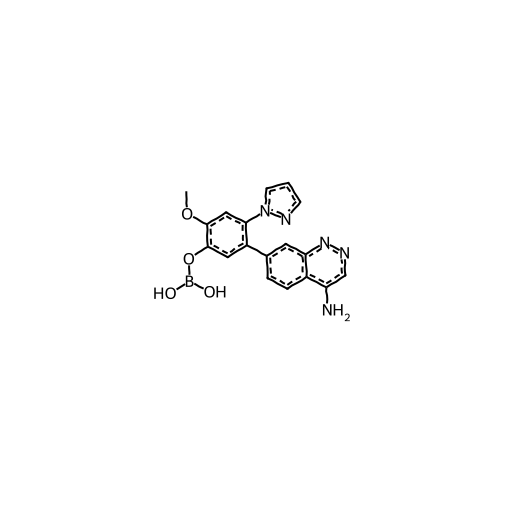 COc1cc(-n2cccn2)c(-c2ccc3c(N)cnnc3c2)cc1OB(O)O